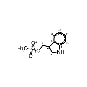 CS(=O)(=O)OCC1CNc2ccccc21